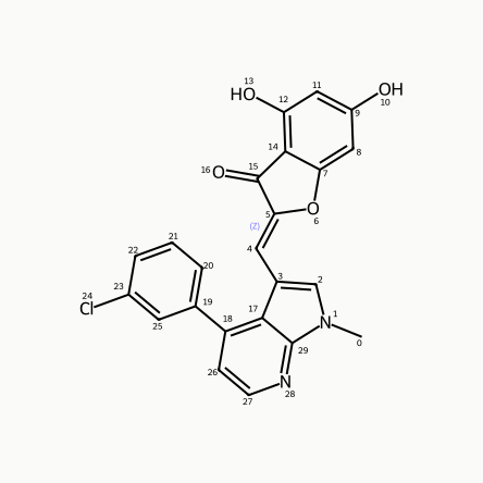 Cn1cc(/C=C2\Oc3cc(O)cc(O)c3C2=O)c2c(-c3cccc(Cl)c3)ccnc21